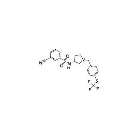 N#Cc1cccc(S(=O)(=O)N[C@@H]2CCN(Cc3ccc(SC(F)(F)F)cc3)C2)c1